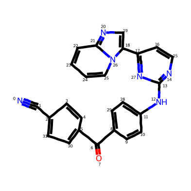 N#Cc1ccc(C(=O)c2ccc(Nc3nccc(-c4cnc5ccccn45)n3)cc2)cc1